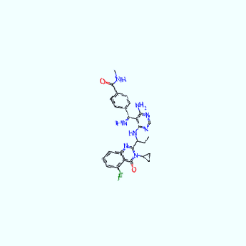 CCC(Nc1ncnc(N)c1C(=N)c1ccc(C(=O)NC)cc1)c1nc2cccc(F)c2c(=O)n1C1CC1